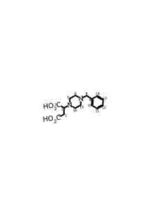 O=C(O)CC(C(=O)O)N1CCN(Cc2ccccc2)CC1